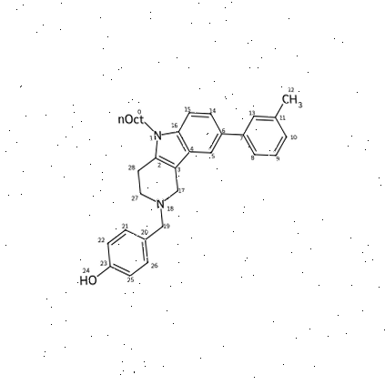 CCCCCCCCn1c2c(c3cc(-c4cccc(C)c4)ccc31)CN(Cc1ccc(O)cc1)CC2